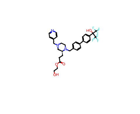 O=C(CC[C@H]1CN(Cc2ccncc2)CCN1Cc1ccc(-c2ccc(C(O)(C(F)(F)F)C(F)(F)F)cc2)cc1)OCCO